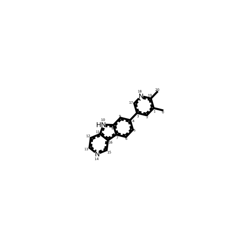 Cc1cc(-c2ccc3c(c2)[nH]c2ccncc23)cnc1C